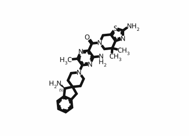 Cc1nc(C(=O)N2Cc3sc(N)nc3C(C)(C)C2)c(N)nc1N1CCC2(CC1)Cc1ccccc1[C@H]2N